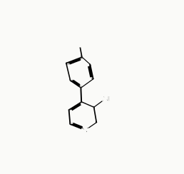 NC1CN=CC=C1c1ccc(F)cc1